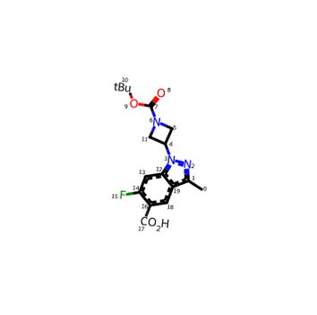 Cc1nn(C2CN(C(=O)OC(C)(C)C)C2)c2cc(F)c(C(=O)O)cc12